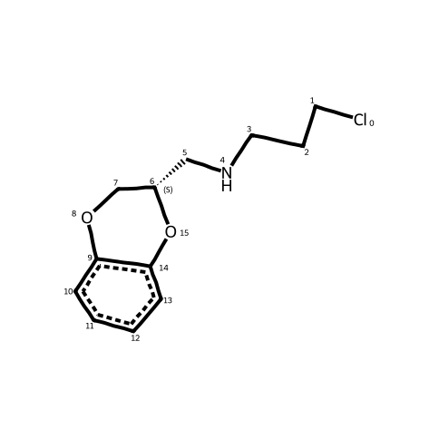 ClCCCNC[C@H]1COc2ccccc2O1